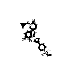 CCS(=O)(=O)N1CCC(C2CN(CC[C@]3(c4ccc(Cl)c(Cl)c4)CCC(=O)N(CC4CC4)C3)C2)CC1